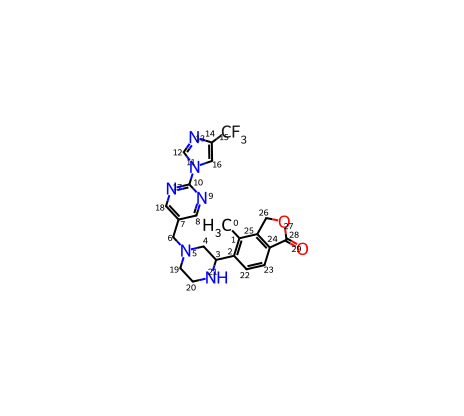 Cc1c(C2CN(Cc3cnc(-n4cnc(C(F)(F)F)c4)nc3)CCN2)ccc2c1COC2=O